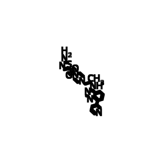 CC(CN1CCN(S(=O)(=O)c2cnc(N)s2)CC1)Nc1ncnc2c(-c3cccnc3)cccc12